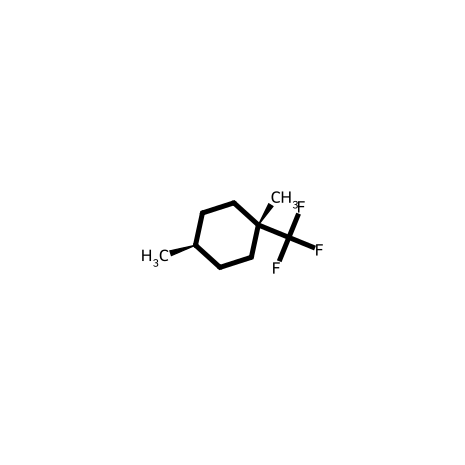 C[C@H]1CC[C@](C)(C(F)(F)F)CC1